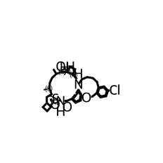 CC1CC[C@H](C)C(CC2CCC2)S(=O)(=O)NC(=O)c2ccc3c(c2)N(CCCCc2cc(Cl)ccc2CO3)C[C@@H]2CC[C@H]2[C@H]1O